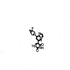 O=c1[nH]cc(-c2cc(N3CC4CC4(F)C3)c3nccn3n2)c(=O)[nH]1